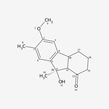 COc1cc2c(cc1C)[C@](C)(O)C1C(=O)CCCC21